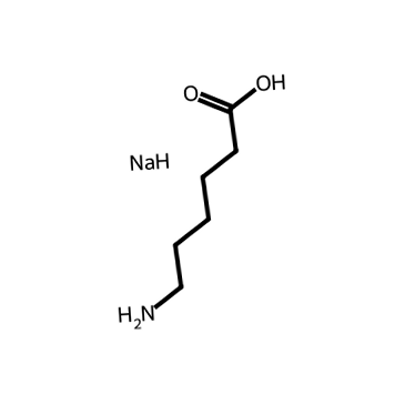 NCCCCCC(=O)O.[NaH]